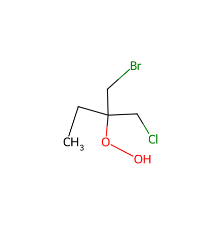 CCC(CCl)(CBr)OO